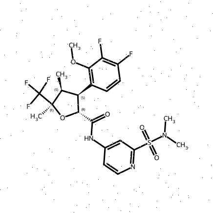 COc1c([C@H]2[C@H](C(=O)Nc3ccnc(S(=O)(=O)N(C)C)c3)O[C@@](C)(C(F)(F)F)[C@H]2C)ccc(F)c1F